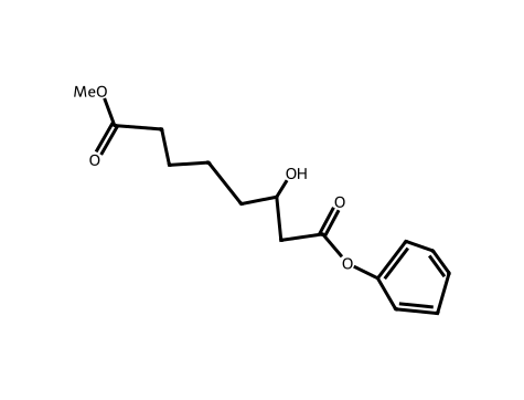 COC(=O)CCCCC(O)CC(=O)Oc1ccccc1